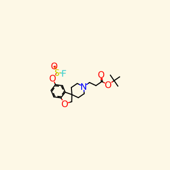 CC(C)(C)OC(=O)CCN1CCC2(CC1)COc1ccc(OS(=O)F)cc12